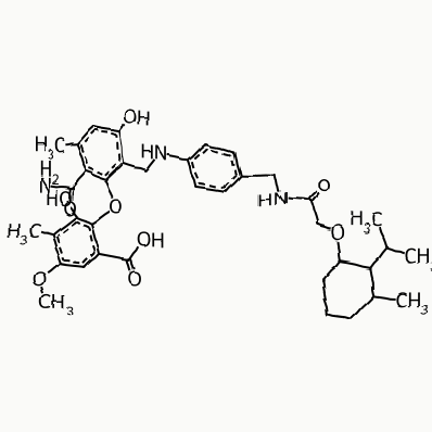 COc1cc(C(=O)O)c(Oc2c(CNc3ccc(CNC(=O)COC4CCCC(C)C4C(C)C)cc3)c(O)cc(C)c2C(N)=O)c(O)c1C